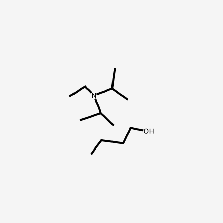 CCCCO.CCN(C(C)C)C(C)C